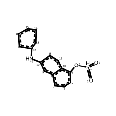 O=[SH](=O)Oc1cccc2cc(Nc3ccccc3)ccc12